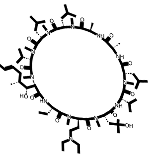 C/C=C/C[C@@H](C)[C@@H](O)[C@H]1C(=O)N[C@@H](CC)C(=O)N(C)[C@H](CCN(CC)CC)C(=O)N(C)[C@@H](CC(C)(C)O)C(=O)N[C@@H](C(C)C)C(=O)N(C)[C@@H](CC(C)C)C(=O)N[C@@H](C)C(=O)N[C@H](C)C(=O)N(C)[C@@H](CC(C)C)C(=O)N(C)[C@@H](CC(C)C)C(=O)N(C)[C@@H](C(C)C)C(=O)N1C